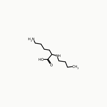 CCCCNC(CCCCN)C(=O)O